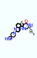 C[C@@H]1CNc2c(sc3ccc4nc(N5CCC6(CC5)CNC6)ccc4c23)C(=O)N1